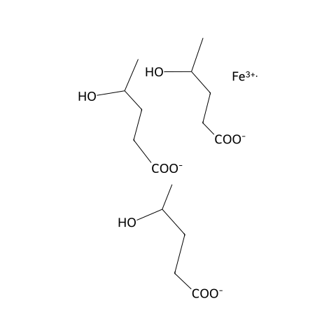 CC(O)CCC(=O)[O-].CC(O)CCC(=O)[O-].CC(O)CCC(=O)[O-].[Fe+3]